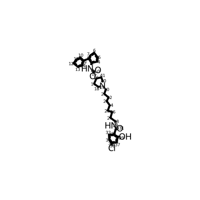 O=C(Nc1ccccc1-c1ccccc1)OC1CCN(CCCCCCCCCNC(=O)c2ccc(Cl)cc2O)CC1